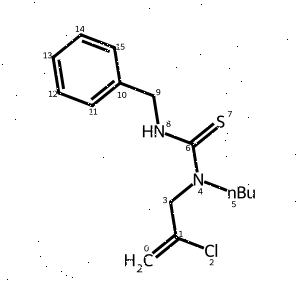 C=C(Cl)CN(CCCC)C(=S)NCc1ccccc1